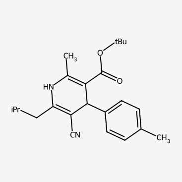 CC1=C(C(=O)OC(C)(C)C)C(c2ccc(C)cc2)C(C#N)=C(CC(C)C)N1